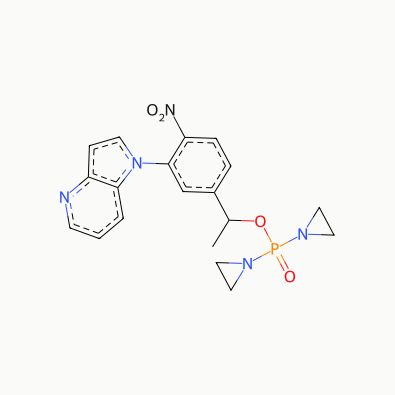 CC(OP(=O)(N1CC1)N1CC1)c1ccc([N+](=O)[O-])c(-n2ccc3ncccc32)c1